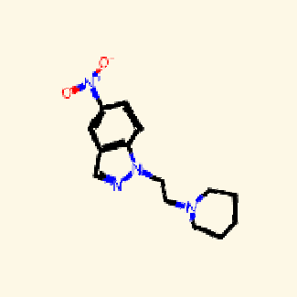 O=[N+]([O-])c1ccc2c(cnn2CCN2CCCCC2)c1